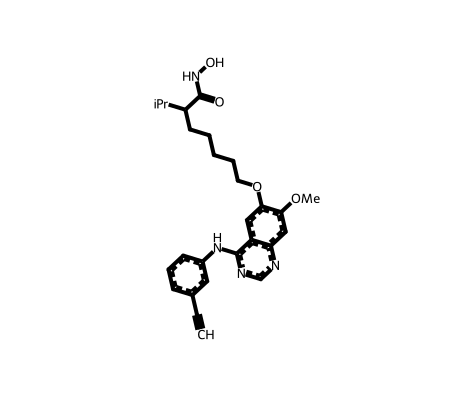 C#Cc1cccc(Nc2ncnc3cc(OC)c(OCCCCCC(C(=O)NO)C(C)C)cc23)c1